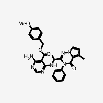 COc1ccc(COC(=O)c2c(N)ncnc2NC(C)c2nn3ccc(C)c3c(=O)n2-c2ccccc2)cc1